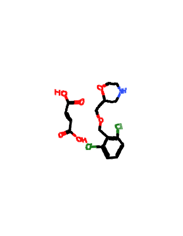 Clc1cccc(Cl)c1COCC1CNCCO1.O=C(O)C=CC(=O)O